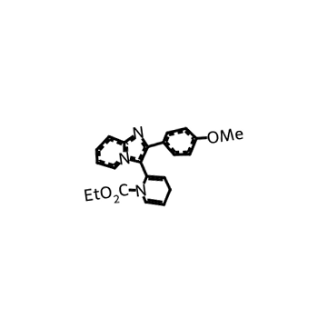 CCOC(=O)N1C=CCC=C1c1c(-c2ccc(OC)cc2)nc2ccccn12